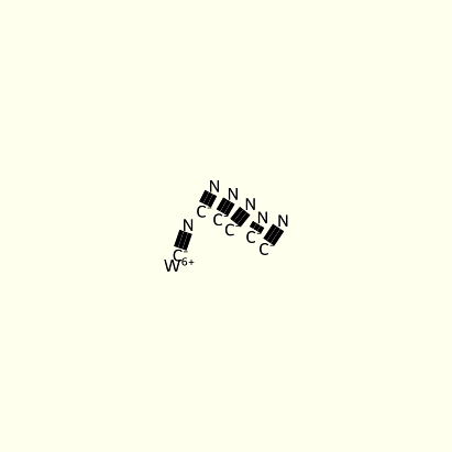 [C-]#N.[C-]#N.[C-]#N.[C-]#N.[C-]#N.[C-]#N.[W+6]